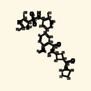 C=Nc1ccc(-c2cnc(C)c(NS(=O)(=O)c3sc(C)nc3C)c2)cc1C(=O)N(C)C1CC(C(=O)N2CCCC2)C1